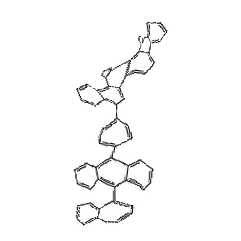 c1ccc2c(-c3c4ccccc4c(-c4ccc(-c5cc6c7ccc8c9ccccc9oc8c7oc6c6ccccc56)cc4)c4ccccc34)cccc2c1